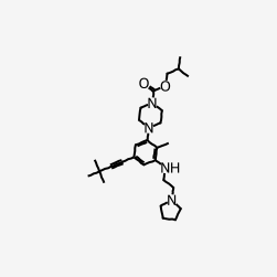 Cc1c(NCCN2CCCC2)cc(C#CC(C)(C)C)cc1N1CCN(C(=O)OCC(C)C)CC1